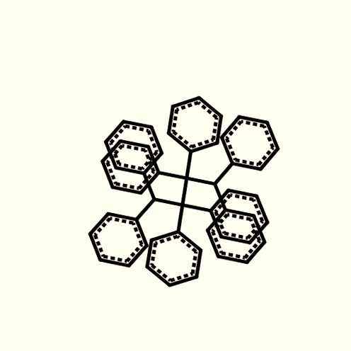 c1ccc([C](c2ccccc2)C(c2ccccc2)(c2ccccc2)C(c2ccccc2)(c2ccccc2)C(c2ccccc2)c2ccccc2)cc1